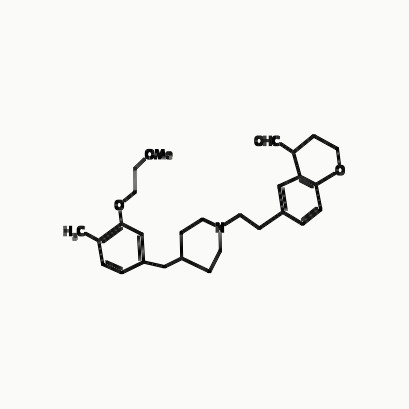 COCCOc1cc(CC2CCN(CCc3ccc4c(c3)C(C=O)CCO4)CC2)ccc1C